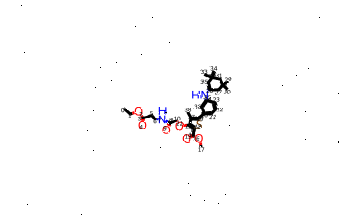 CCOC(=O)CCNC(=O)COc1c(C(=O)OC)sc(-c2cccc(NC3CC(C)(C)CC(C)(C)C3)c2)c1C